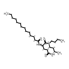 CCCCCCCCCCCCCC(=O)NC(CCC(=O)O)C(=O)N(CCCC)CCCC